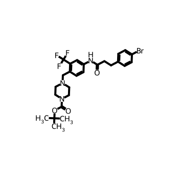 CC(C)(C)OC(=O)N1CCN(Cc2ccc(NC(=O)CCc3ccc(Br)cc3)cc2C(F)(F)F)CC1